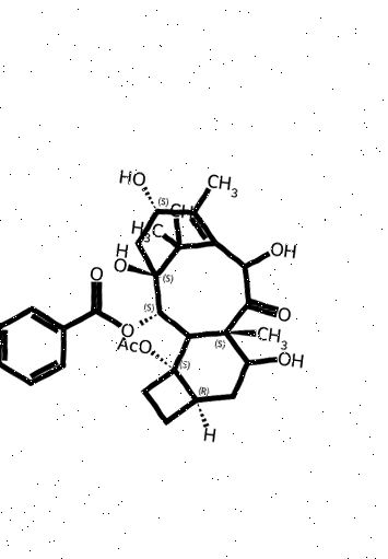 CC(=O)O[C@@]12CC[C@@H]1CC(O)[C@@]1(C)C(=O)C(O)C3=C(C)[C@@H](O)C[C@@](O)([C@@H](OC(=O)c4ccccc4)C12)C3(C)C